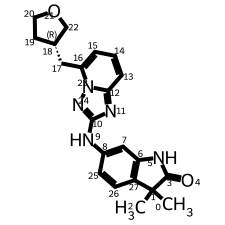 CC1(C)C(=O)Nc2cc(Nc3nc4cccc(C[C@@H]5CCOC5)n4n3)ccc21